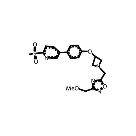 COCc1noc(CN2CC(Oc3ccc(-c4ccc(S(C)(=O)=O)nc4)cc3)C2)n1